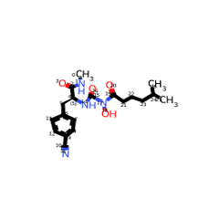 CNC(=O)[C@H](Cc1ccc(C#N)cc1)NC(=O)N(O)C(=O)CCCC(C)C